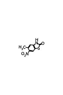 Cc1cc2[nH]c(=O)sc2cc1[N+](=O)[O-]